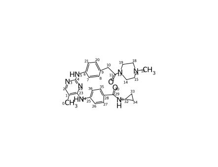 Cc1cnc(Nc2ccc(CC(=O)N3CCN(C)CC3)cc2)nc1Nc1ccc(C(=O)NC2CC2)cc1